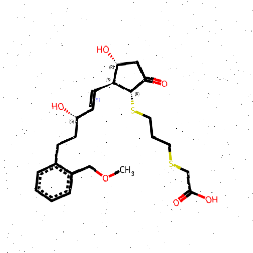 COCc1ccccc1CC[C@H](O)/C=C/[C@H]1[C@H](O)CC(=O)[C@@H]1SCCCSCC(=O)O